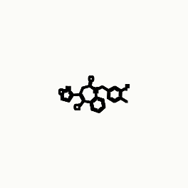 Cc1ccc(CN2C(=O)CC(c3ccon3)=C(Cl)c3ccccc32)cc1F